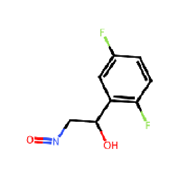 O=NCC(O)c1cc(F)ccc1F